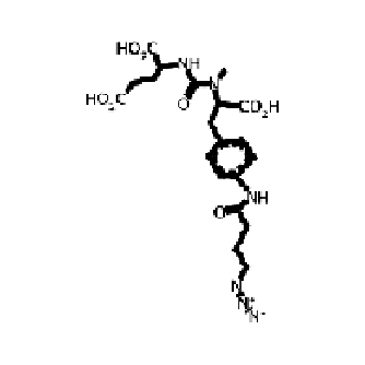 CN(C(=O)NC(CCC(=O)O)C(=O)O)C(Cc1ccc(NC(=O)CCCN=[N+]=[N-])cc1)C(=O)O